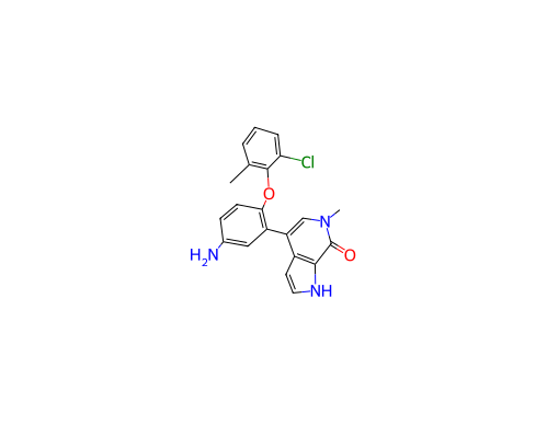 Cc1cccc(Cl)c1Oc1ccc(N)cc1-c1cn(C)c(=O)c2[nH]ccc12